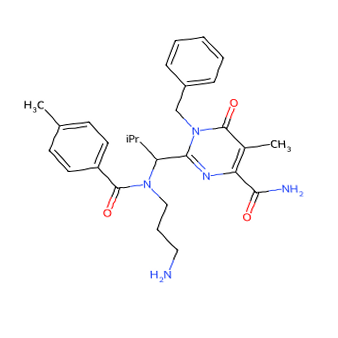 Cc1ccc(C(=O)N(CCCN)C(c2nc(C(N)=O)c(C)c(=O)n2Cc2ccccc2)C(C)C)cc1